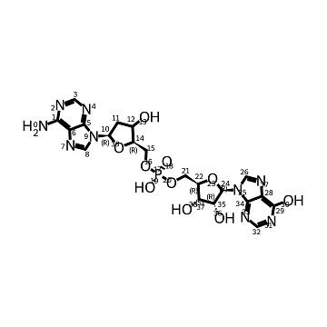 Nc1ncnc2c1ncn2[C@H]1CC(O)[C@@H](COP(=O)(O)OC[C@H]2O[C@@H](n3cnc4c(O)ncnc43)[C@H](O)[C@@H]2O)O1